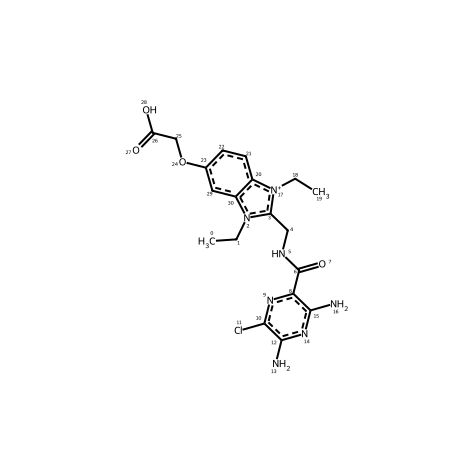 CCn1c(CNC(=O)c2nc(Cl)c(N)nc2N)[n+](CC)c2ccc(OCC(=O)O)cc21